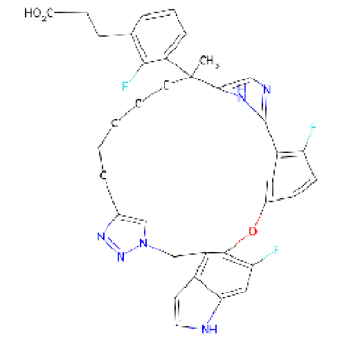 CC1(c2cccc(CCC(=O)O)c2F)CCCCCc2cn(nn2)Cc2c(c(F)cc3[nH]ccc23)Oc2ccc(F)c(c2)-c2ncc1[nH]2